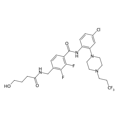 O=C(CCCO)NCc1ccc(C(=O)Nc2ccc(Cl)cc2N2CCN(CCC(F)(F)F)CC2)c(F)c1F